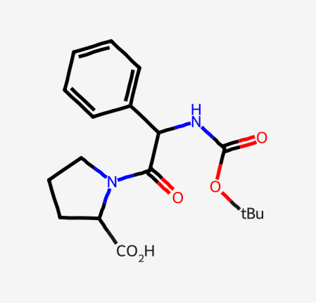 CC(C)(C)OC(=O)NC(C(=O)N1CCCC1C(=O)O)c1ccccc1